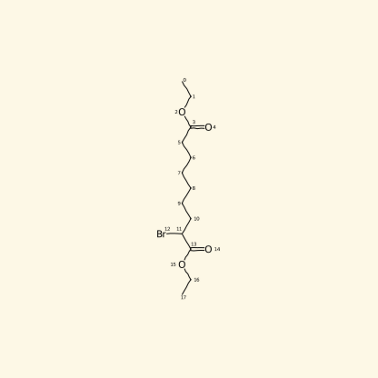 CCOC(=O)CCCCCCC(Br)C(=O)OCC